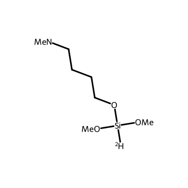 [2H][Si](OC)(OC)OCCCCNC